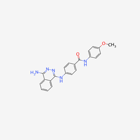 COc1ccc(NC(=O)c2ccc(Nc3nnc(N)c4ccccc34)cc2)cc1